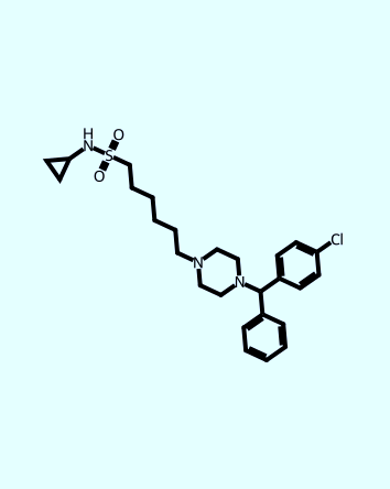 O=S(=O)(CCCCCCN1CCN(C(c2ccccc2)c2ccc(Cl)cc2)CC1)NC1CC1